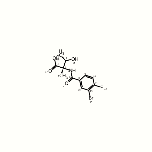 C[C@@H](O)[C@](C)(NC(=O)c1ccc(F)c(Br)c1)C(=O)O